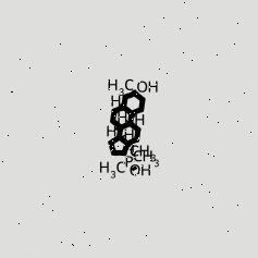 C[C@@]1(O)CC[C@H]2[C@H](CC[C@@H]3[C@@H]2CC[C@@]2(C)[C@H]3CC[C@@H]2[PH](C)(C)O)C1